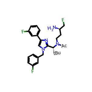 CC(=O)N(CC[C@@H](N)CF)[C@@H](c1nc(-c2cccc(F)c2)cn1Cc1cccc(F)c1)C(C)(C)C